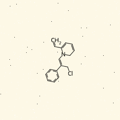 C=CC1=CC=CCN1C=C(CCl)c1ccccc1